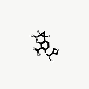 C[C@@H](Sc1ccc2c(c1C(=O)O)OB(O)[C@@H]1C[C@H]21)C1COC1